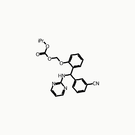 CC(C)OC(=O)OCOc1ccccc1C(Nc1ncccn1)c1cccc(C#N)c1